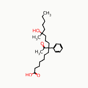 CCCCCC(C)(O)CCCC(CCCCCCC(=O)O)(C(C)=O)c1ccccc1